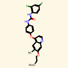 COCCOc1cc2nccc(Oc3ccc(NC(=O)Nc4ccc(F)cc4F)cc3)c2cc1C#N